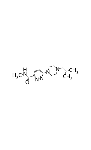 CNC(=O)c1ccc(N2CCN(CC(C)C)CC2)nn1